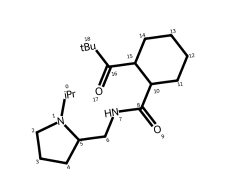 CC(C)N1CCCC1CNC(=O)C1CCCCC1C(=O)C(C)(C)C